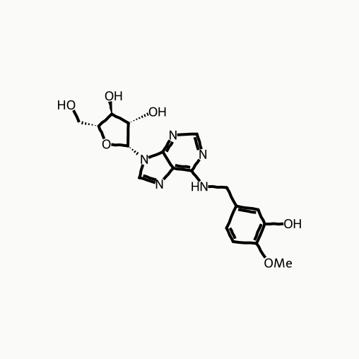 COc1ccc(CNc2ncnc3c2ncn3[C@@H]2O[C@H](CO)[C@@H](O)[C@@H]2O)cc1O